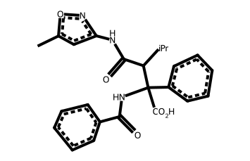 Cc1cc(NC(=O)C(C(C)C)C(NC(=O)c2ccccc2)(C(=O)O)c2ccccc2)no1